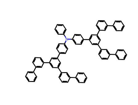 c1ccc(-c2cccc(-c3cc(-c4ccc(N(c5ccccc5)c5ccc(-c6cc(-c7cccc(-c8ccccc8)c7)cc(-c7cccc(-c8ccccc8)c7)c6)cc5)cc4)cc(-c4cccc(-c5ccccc5)c4)c3)c2)cc1